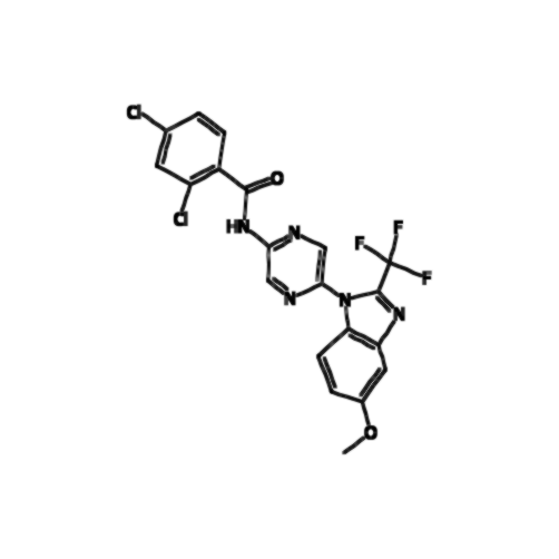 COc1ccc2c(c1)nc(C(F)(F)F)n2-c1cnc(NC(=O)c2ccc(Cl)cc2Cl)cn1